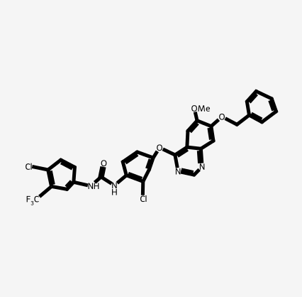 COc1cc2c(Oc3ccc(NC(=O)Nc4ccc(Cl)c(C(F)(F)F)c4)c(Cl)c3)ncnc2cc1OCc1ccccc1